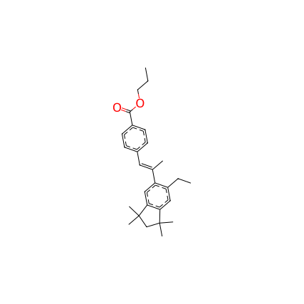 CCCOC(=O)c1ccc(/C=C(\C)c2cc3c(cc2CC)C(C)(C)CC3(C)C)cc1